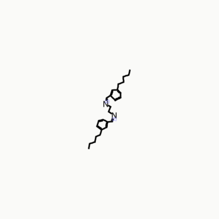 CCCCCc1cccc(/C=N\CC/N=C\c2cccc(CCCCC)c2)c1